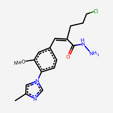 COc1cc(C=C(CCCCl)C(=O)NN)ccc1-n1cnc(C)c1